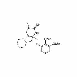 COc1cccc(OCC2(CC3CCCCC3)NC(=N)N(C)CO2)c1OC